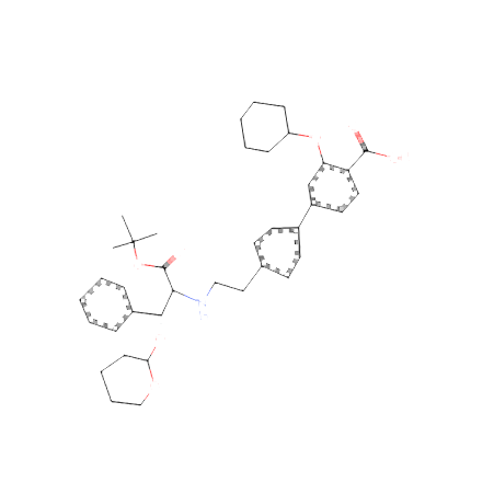 CC(C)(C)OC(=O)C(NCCc1ccc(-c2ccc(C(=O)O)c(OC3CCCCC3)c2)cc1)[C@H](OC1CCCCO1)c1ccccc1